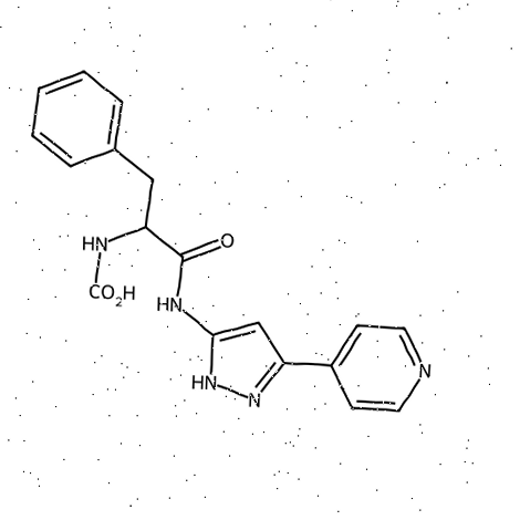 O=C(O)NC(Cc1ccccc1)C(=O)Nc1cc(-c2ccncc2)n[nH]1